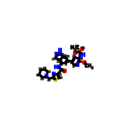 COc1ncc(-c2cc(NC(=O)c3csc(CN4CCCCC4)n3)c3cn[nH]c3c2)cc1NS(C)(=O)=O